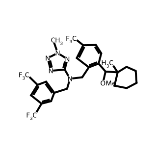 COC(c1ccc(C(F)(F)F)cc1CN(Cc1cc(C(F)(F)F)cc(C(F)(F)F)c1)c1nnn(C)n1)C1(C)CCCCC1